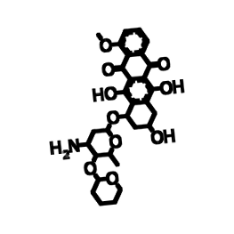 COc1cccc2c1C(=O)c1c(O)c3c(c(O)c1C2=O)CC(O)CC3OC1CC(N)C(OC2CCCCO2)C(C)O1